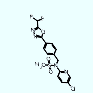 CS(=O)(=O)N(Cc1ccc(-c2nnc(C(F)F)o2)cc1)c1ccc(Cl)cn1